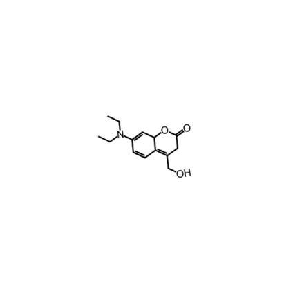 CCN(CC)C1=CC2OC(=O)CC(CO)=C2C=C1